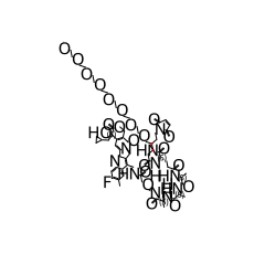 COCCOCCOCCOCCOCCOCCOCCOCCNC(=O)[C@H](CCC(=O)N[C@@H](C)C(=O)N[C@@H](C)C(=O)N[C@@H](C)C(=O)NCOCC(=O)NCc1c2c(nc3cc(F)c(C)cc13)-c1cc3c(c(=O)n1C2)COC(=O)[C@]3(O)CC1CC1)NC(=O)CCCCCN1C(=O)C=CC1=O